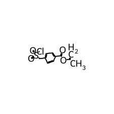 C=C(C)OC(=O)c1ccc(CS(=O)(=O)Cl)cc1